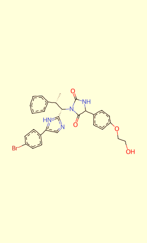 C[C@@H](c1ccccc1)[C@@H](c1ncc(-c2ccc(Br)cc2)[nH]1)N1C(=O)NC(c2ccc(OCCO)cc2)C1=O